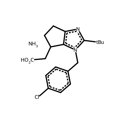 CC(C)(C)c1nc2c(n1Cc1ccc(Cl)cc1)C(CC(=O)O)CC2.N